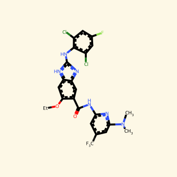 CCOc1cc2[nH]c(Nc3c(Cl)cc(F)cc3Cl)nc2cc1C(=O)Nc1cc(C(F)(F)F)cc(N(C)C)n1